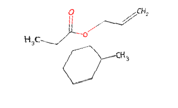 C=CCOC(=O)CC.CC1CCCCC1